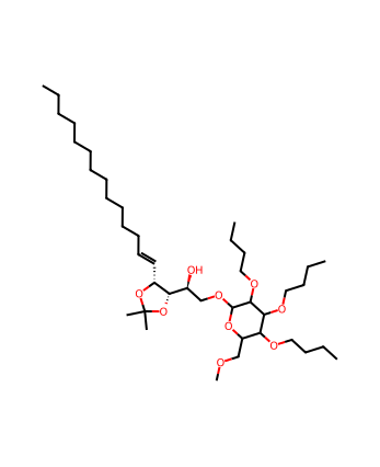 CCCCCCCCCCCCC=C[C@H]1OC(C)(C)O[C@H]1[C@@H](O)COC1OC(COC)C(OCCCC)C(OCCCC)C1OCCCC